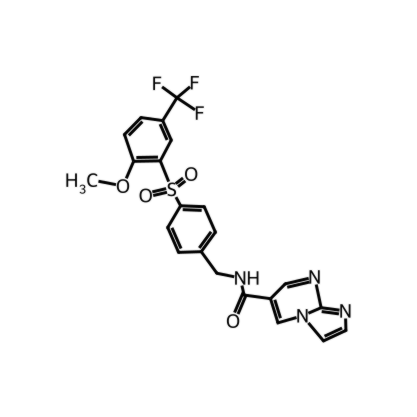 COc1ccc(C(F)(F)F)cc1S(=O)(=O)c1ccc(CNC(=O)c2cnc3nccn3c2)cc1